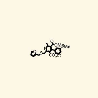 CCOC(=O)c1c(CSCc2ccco2)nc(C)c(C(=O)OC)c1-c1cccc(OC)c1